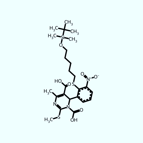 CSC1=NC(C)=C(C(=O)O)C(c2cccc([N+](=O)[O-])c2SCCCCCO[Si](C)(C)C(C)(C)C)N1C(=O)O